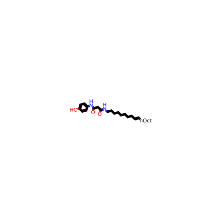 CCCCCCCCC=CCCCCCCCCNC(=O)CC(=O)Nc1ccc(O)cc1